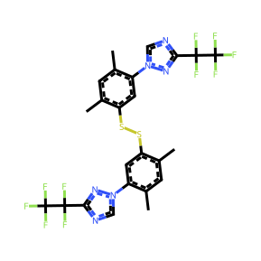 Cc1cc(C)c(-n2cnc(C(F)(F)C(F)(F)F)n2)cc1SSc1cc(-n2cnc(C(F)(F)C(F)(F)F)n2)c(C)cc1C